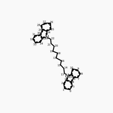 c1ccc2c(c1)c1ccccc1n2CCCCCCCCCCn1c2ccccc2c2ccccc21